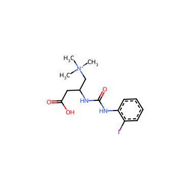 C[N+](C)(C)CC(CC(=O)O)NC(=O)Nc1ccccc1I